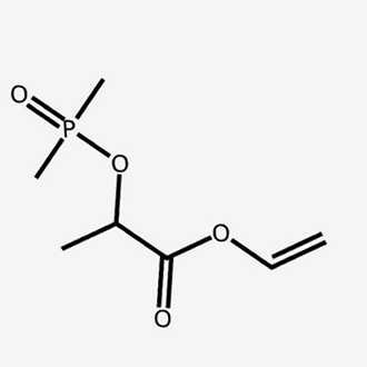 C=COC(=O)C(C)OP(C)(C)=O